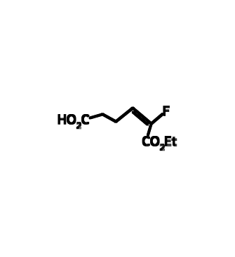 CCOC(=O)/C(F)=C\CCC(=O)O